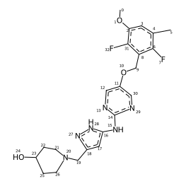 COc1cc(C)c(F)c(COc2cnc(Nc3cc(CN4CCC(O)CC4)n[nH]3)nc2)c1F